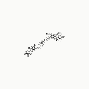 COc1cc2c(NC(C)c3cccc(Br)c3)nc(C)nc2cc1OCCCCCCN1CCN(CC#Cc2cc3c(cc2F)C(=O)N(C2CCC(=O)NC2=O)C3)CC1